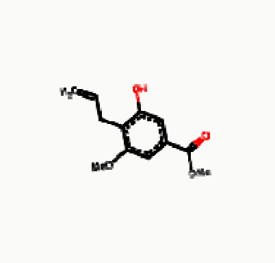 C=CCc1c(O)cc(C(=O)OC)cc1OC